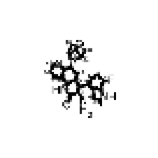 Nc1c(-c2ccc(F)c3[nH]ncc23)c2cc(N3C4COCC3C4)c3ncccc3c2[nH]c1=O